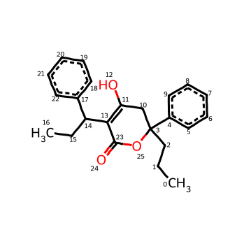 CCCC1(c2ccccc2)CC(O)=C(C(CC)c2ccccc2)C(=O)O1